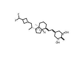 C=C1[C@H](O)CC(=CC=C2CCC[C@]3(C)[C@@H](C(C)CN4CC(C(F)F)C4)CC[C@@H]23)C[C@H]1O